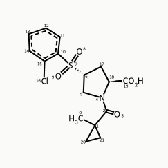 CC1(C(=O)N2C[C@H](S(=O)(=O)c3ccccc3Cl)C[C@H]2C(=O)O)CC1